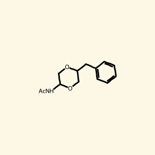 CC(=O)NC1COC(Cc2ccccc2)CO1